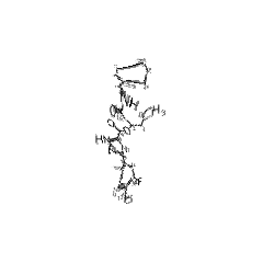 CCC(OC(=O)c1nc(-c2ccc(Cl)c(F)c2)n[nH]1)C(=O)NCc1ccccc1